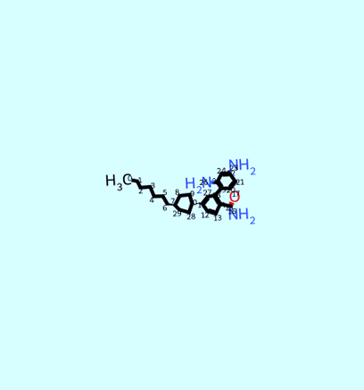 CCCCCCC[C@H]1CC[C@H](c2ccc(C(N)=O)c(-c3ccc(N)cc3N)c2)CC1